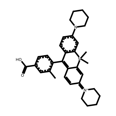 Cc1cc(C(=O)O)ccc1C1=C2C=CC(=[N+]3CCCCC3)C=C2[Si](C)(C)c2cc(N3CCCCC3)ccc21